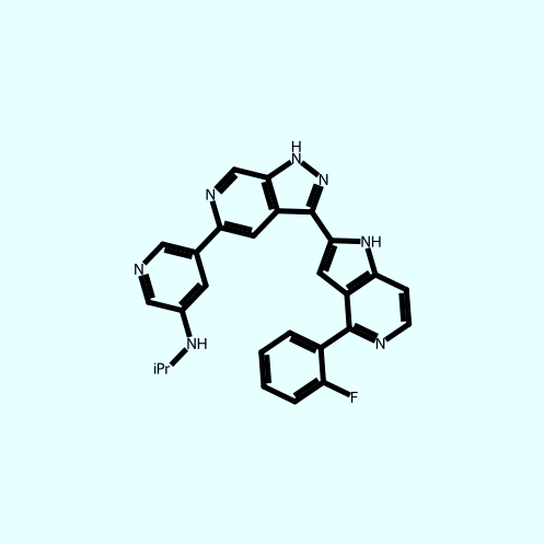 CC(C)Nc1cncc(-c2cc3c(-c4cc5c(-c6ccccc6F)nccc5[nH]4)n[nH]c3cn2)c1